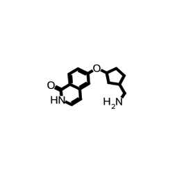 NCC1CCC(Oc2ccc3c(=O)[nH]ccc3c2)C1